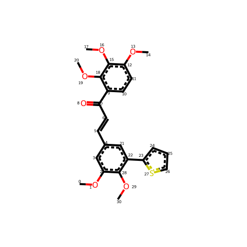 COc1cc(C=CC(=O)c2ccc(OC)c(OC)c2OC)cc(-c2cccs2)c1OC